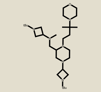 CN(CC1CN(C2CN(C(C)(C)C)C2)CCN1CCC(C)(C)N1CCOCC1)C1CN(C(C)(C)C)C1